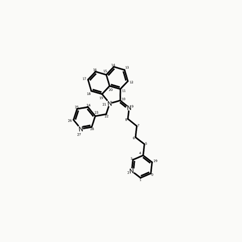 c1cncc(CCCCN=C2c3cccc4cccc(c34)N2Cc2cccnc2)c1